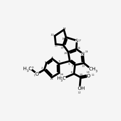 COc1ccc(-c2c(C(C)C(=O)O)c(C)nc3sc4c(c23)CCC4)cc1